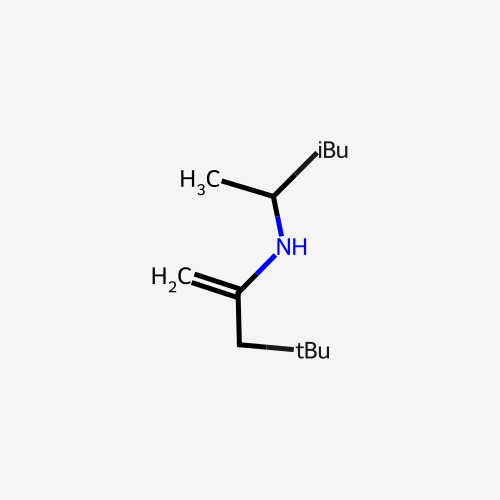 C=C(CC(C)(C)C)NC(C)C(C)CC